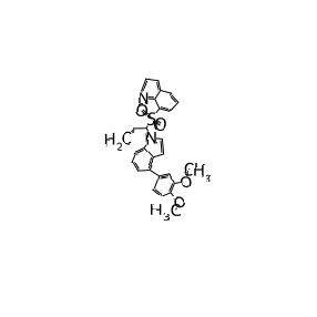 C=CC(n1ccc2c(-c3ccc(OC)c(OC)c3)cccc21)S(=O)(=O)c1cccc2cccnc12